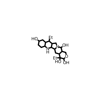 CCC1C2CC(O)CCC2NC2C1CN1C(O)C3COC(O)C(O)(CC)C3CC21